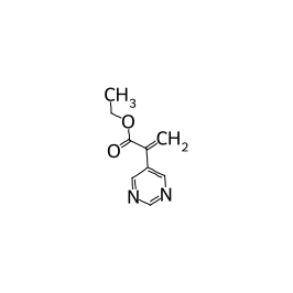 C=C(C(=O)OCC)c1cncnc1